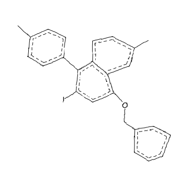 Cc1ccc(-c2c(I)cc(OCc3ccccc3)c3cc(C)ccc23)cc1